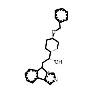 O[C@H](CC1c2ccccc2-c2cncn21)[C@H]1CC[C@H](OCc2ccccc2)CC1